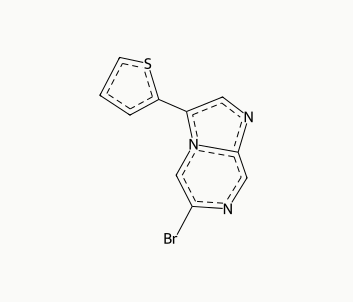 Brc1cn2c(-c3cccs3)cnc2cn1